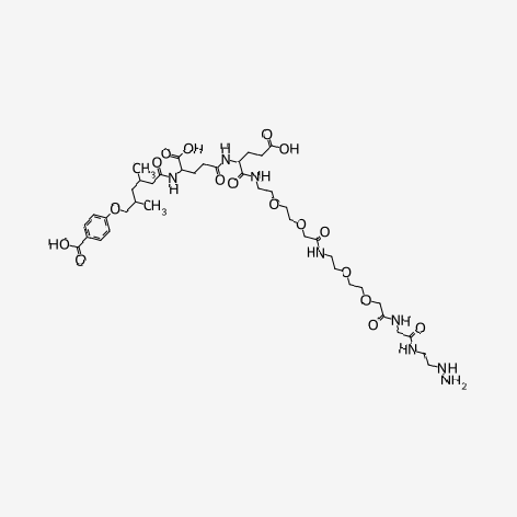 CC(COc1ccc(C(=O)O)cc1)CC(C)CC(=O)NC(CCC(=O)NC(CCC(=O)O)C(=O)NCCOCCOCC(=O)NCCOCCOCC(=O)NCC(=O)NCCNN)C(=O)O